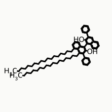 CCCCCCCCCCCCCCCCCCc1cccc2c(-c3c(O)c(-c4ccccc4)cc4ccccc34)c(O)c(-c3ccccc3)c(CCCCCCCCCCCCCCCCCC)c12